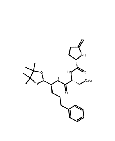 COC[C@@H](NC(=O)[C@@H]1CCC(=O)N1)C(=O)N[C@@H](CCCc1ccccc1)B1OC(C)(C)C(C)(C)O1